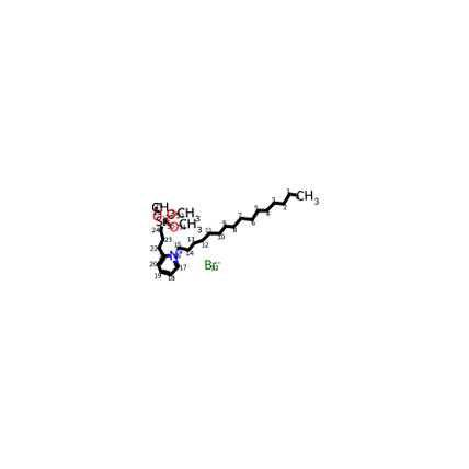 CCCCCCCCCCCCCCCC[n+]1ccccc1CCC[Si](OC)(OC)OC.[Br-]